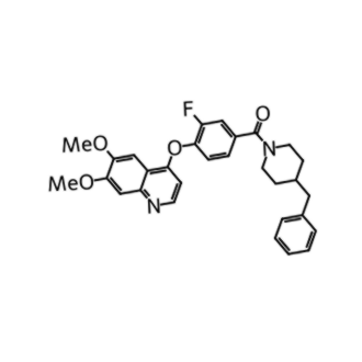 COc1cc2nccc(Oc3ccc(C(=O)N4CCC(Cc5ccccc5)CC4)cc3F)c2cc1OC